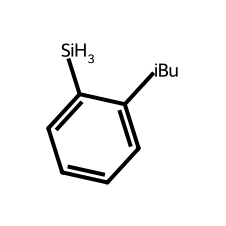 CCC(C)c1ccccc1[SiH3]